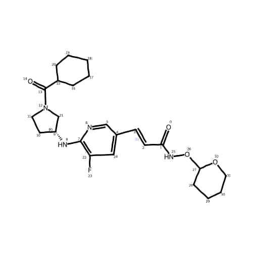 O=C(/C=C/c1cnc(N[C@@H]2CCN(C(=O)C3CCCCC3)C2)c(F)c1)NOC1CCCCO1